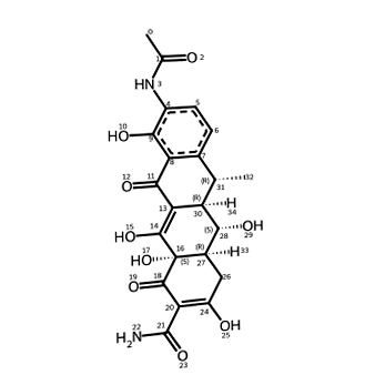 CC(=O)Nc1ccc2c(c1O)C(=O)C1=C(O)[C@]3(O)C(=O)C(C(N)=O)=C(O)C[C@@H]3[C@@H](O)[C@@H]1[C@H]2C